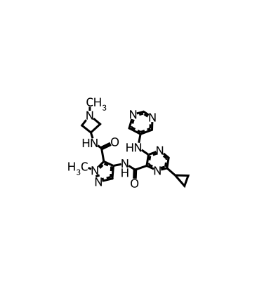 CN1CC(NC(=O)c2c(NC(=O)c3nc(C4CC4)cnc3Nc3cncnc3)cnn2C)C1